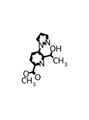 COC(=O)c1ccc(-n2cccn2)c(C(C)O)n1